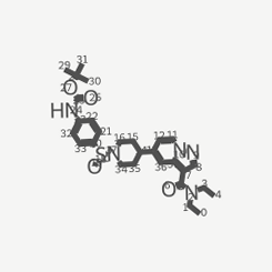 CCN(CC)C(=O)c1cnn2ccc(C3CCN([S+]([O-])c4ccc(NC(=O)OC(C)(C)C)cc4)CC3)cc12